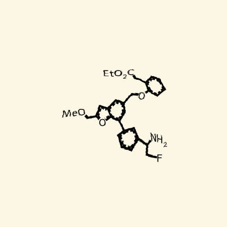 CCOC(=O)Cc1ccccc1OCc1cc(-c2cccc(C(N)CF)c2)c2oc(COC)cc2c1